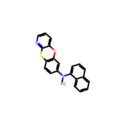 CN(c1ccc2c(c1)Oc1cccnc1S2)c1cccc2ccccc12